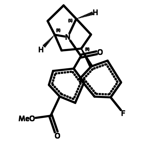 COC(=O)c1ccc(C(=O)N2[C@@H]3CC[C@H]2C[C@@H](c2ccc(F)cc2)C3)cc1